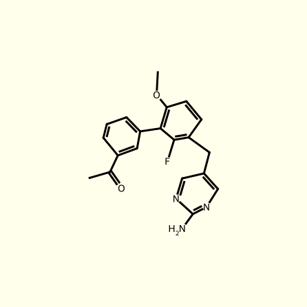 COc1ccc(Cc2cnc(N)nc2)c(F)c1-c1cccc(C(C)=O)c1